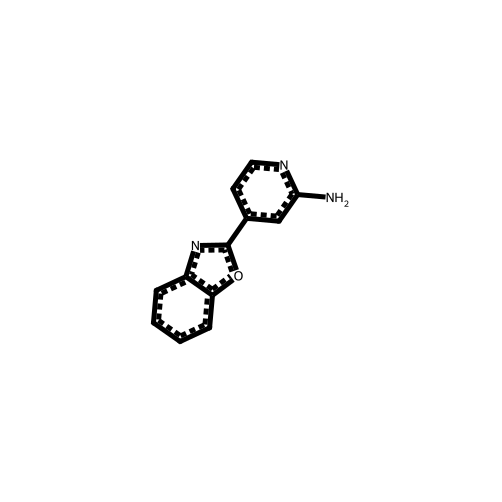 Nc1cc(-c2nc3ccccc3o2)ccn1